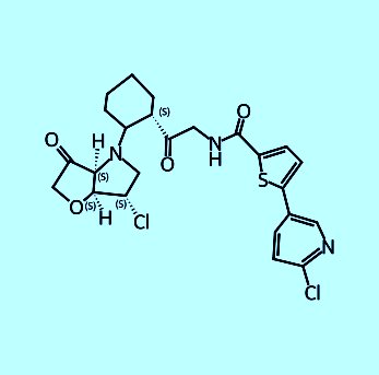 O=C(NCC(=O)[C@H]1CCCCC1N1C[C@H](Cl)[C@H]2OCC(=O)[C@H]21)c1ccc(-c2ccc(Cl)nc2)s1